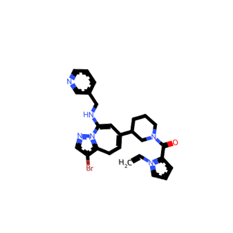 C=Cn1cccc1C(=O)N1CCCC(C2=CCc3c(Br)cnn3C(NCc3cccnc3)=C2)C1